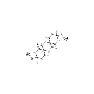 CC1CC2(OCC(C)(CO)CO2)C(C)CC12OCC(C)(CO)CO2